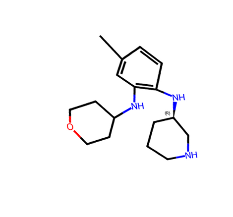 Cc1ccc(N[C@@H]2CCCNC2)c(NC2CCOCC2)c1